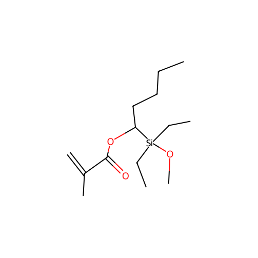 C=C(C)C(=O)OC(CCCC)[Si](CC)(CC)OC